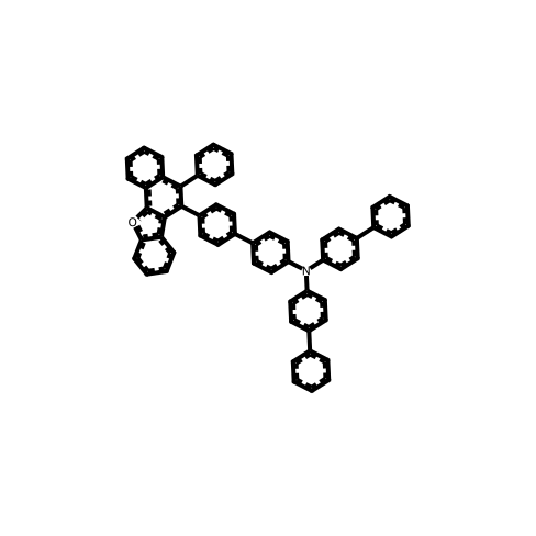 c1ccc(-c2ccc(N(c3ccc(-c4ccccc4)cc3)c3ccc(-c4ccc(-c5c(-c6ccccc6)c6ccccc6c6oc7ccccc7c56)cc4)cc3)cc2)cc1